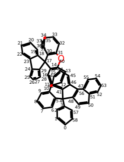 c1ccc(C2(c3ccccc3-c3ccc4c(c3)C3(c5ccccc5-c5ccccc53)c3c(ccc5ccccc35)O4)c3ccccc3-c3c2ccc2ccccc32)cc1